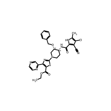 CCOC(=O)c1sc(N2CC[C@@H](NC(=O)c3[nH]c(C)c(Cl)c3C#N)[C@@H](OCc3ccccc3)C2)nc1-c1cnccn1